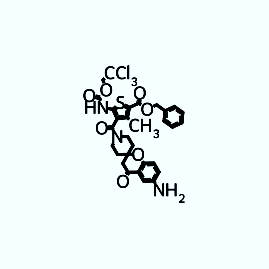 Cc1c(C(=O)OCc2ccccc2)sc(NC(=O)OCC(Cl)(Cl)Cl)c1C(=O)N1CCC2(CC1)CC(=O)c1cc(N)ccc1O2